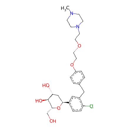 CN1CCN(CCOCCOc2ccc(Cc3cc([C@@H]4C[C@@H](O)[C@H](O)[C@@H](CO)O4)ccc3Cl)cc2)CC1